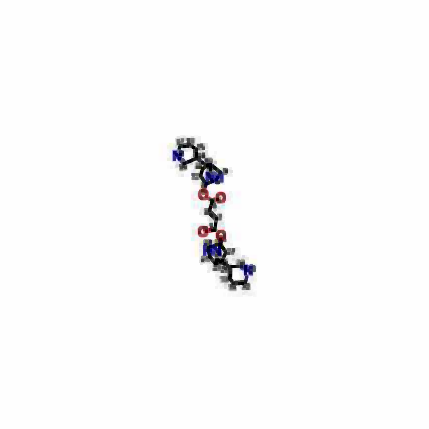 O=C(/C=C/C(=O)OC12CCC(CC1)C(c1cccnc1)N2)OC12CCC(CC1)C(c1cccnc1)N2